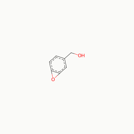 OCc1ccc2c(c1)O2